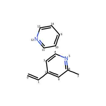 C=Cc1ccnc(C)c1.c1ccncc1